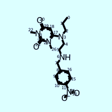 CCCN(CCNCc1ccc([N+](=O)[O-])cc1)c1cc(=O)n(C)c(=O)n1C